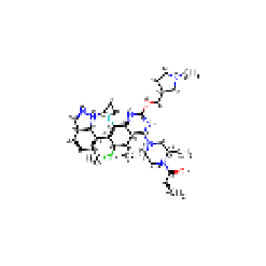 C=CC(=O)N1C[C@H](C)N(c2nc(OCC3CCN(C)C3)nc3c(F)c(-c4c(C)ccc5cnn(C6CC6)c45)c(Cl)cc23)C[C@H]1C